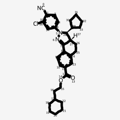 N#Cc1ccc(N2N=C3c4ccc(C(=O)OCCC5CCCCC5)cc4CC[C@@H]3[C@@H]2C2CCCC2)cc1Cl